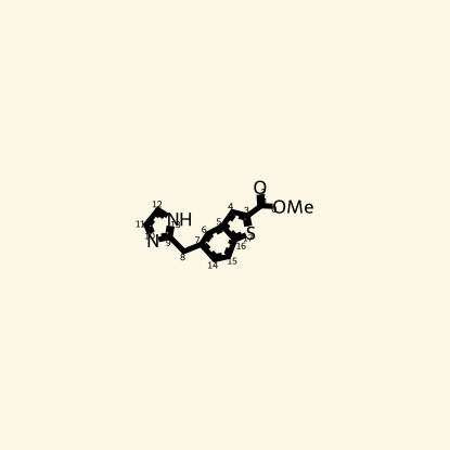 COC(=O)c1cc2cc(Cc3ncc[nH]3)ccc2s1